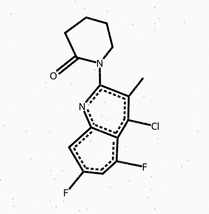 Cc1c(N2CCCCC2=O)nc2cc(F)cc(F)c2c1Cl